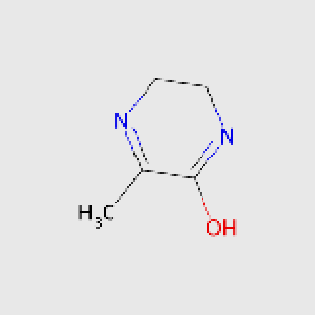 CC1=NCCN=C1O